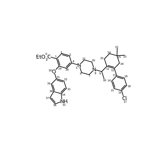 CCOC(=O)c1ccc(N2CCN(C(C)C3=C(c4ccc(Cl)cc4)CC(C)(C)CC3)CC2)cc1Oc1ccc2[nH]ccc2c1